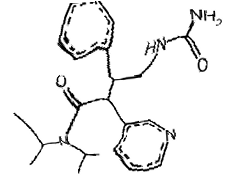 CC(C)N(C(=O)C(c1cccnc1)C(CNC(N)=O)c1ccccc1)C(C)C